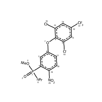 CCCP(=O)(OC)c1cc(Oc2c(Cl)cc(C(F)(F)F)cc2Cl)ccc1[N+](=O)[O-]